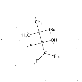 CC(C)(C)C(C)(C)C(O)(F)C(F)F